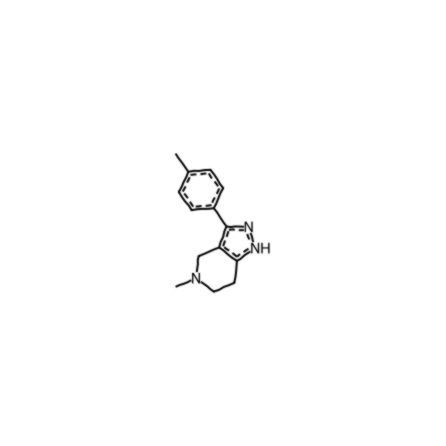 Cc1ccc(-c2n[nH]c3c2CN(C)CC3)cc1